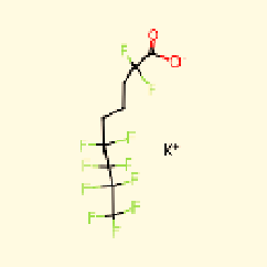 O=C([O-])C(F)(F)CCCC(F)(F)C(F)(F)C(F)(F)C(F)(F)F.[K+]